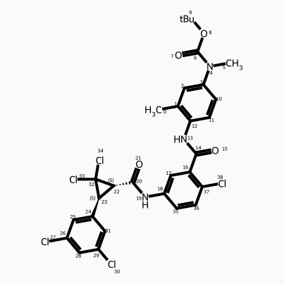 Cc1cc(N(C)C(=O)OC(C)(C)C)ccc1NC(=O)c1cc(NC(=O)[C@@H]2[C@@H](c3cc(Cl)cc(Cl)c3)C2(Cl)Cl)ccc1Cl